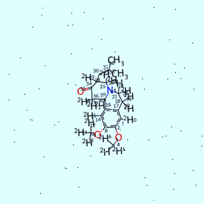 [2H]c1c(OC([2H])([2H])[2H])c(OC([2H])([2H])[2H])c([2H])c2c1C([2H])([2H])C([2H])([2H])N1C([2H])([2H])C([2H])(CC(C)C)C(=O)C([2H])([2H])C21[2H]